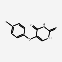 O=c1[nH]cc(Oc2ccc(Cl)cc2)c(=O)[nH]1